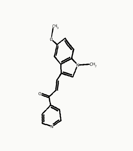 COc1ccc2c(c1)c(C=CC(=O)c1ccncc1)cn2C